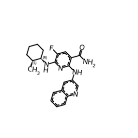 C[C@H]1CCCC[C@H]1Nc1nc(Nc2cnc3ccccc3c2)c(C(N)=O)cc1F